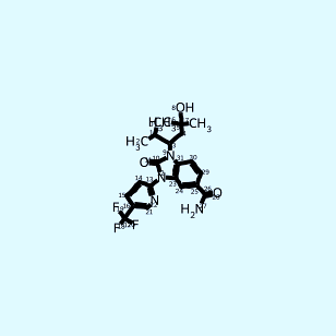 CC(C)C(CC(C)(C)O)n1c(=O)n(-c2ccc(C(F)(F)F)cn2)c2cc(C(N)=O)ccc21